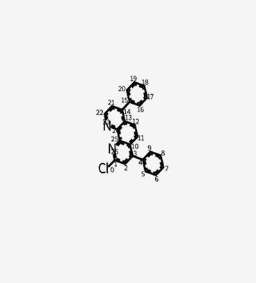 Clc1cc(-c2ccccc2)c2ccc3c(-c4ccccc4)ccnc3c2n1